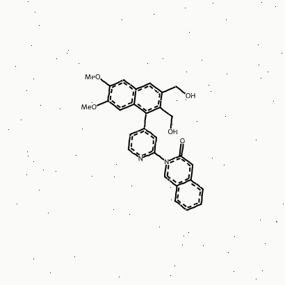 COc1cc2cc(CO)c(CO)c(-c3ccnc(-n4cc5ccccc5cc4=O)c3)c2cc1OC